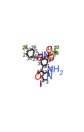 Nc1ncc(I)c2occ(-c3ccc(NS(=O)(=O)C(F)F)c(OCc4ccc(F)cc4)c3)c12